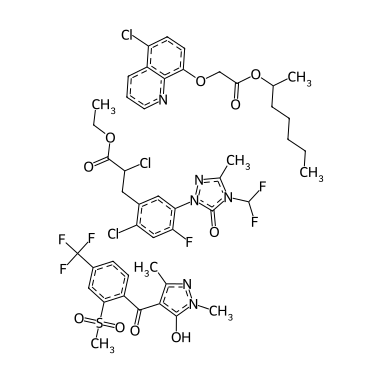 CCCCCC(C)OC(=O)COc1ccc(Cl)c2cccnc12.CCOC(=O)C(Cl)Cc1cc(-n2nc(C)n(C(F)F)c2=O)c(F)cc1Cl.Cc1nn(C)c(O)c1C(=O)c1ccc(C(F)(F)F)cc1S(C)(=O)=O